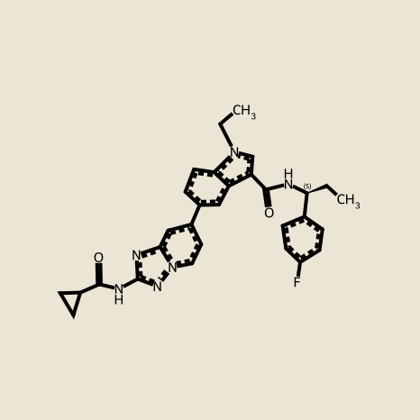 CC[C@H](NC(=O)c1cn(CC)c2ccc(-c3ccn4nc(NC(=O)C5CC5)nc4c3)cc12)c1ccc(F)cc1